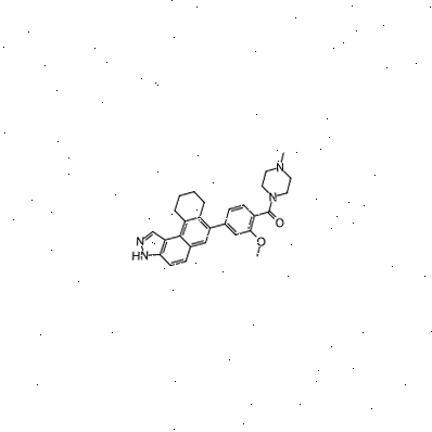 COc1cc(-c2cc3ccc4[nH]ncc4c3c3c2CCCC3)ccc1C(=O)N1CCN(C)CC1